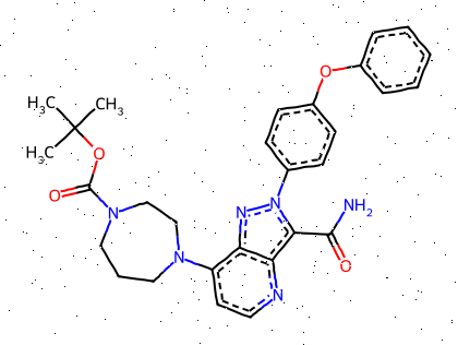 CC(C)(C)OC(=O)N1CCCN(c2ccnc3c(C(N)=O)n(-c4ccc(Oc5ccccc5)cc4)nc23)CC1